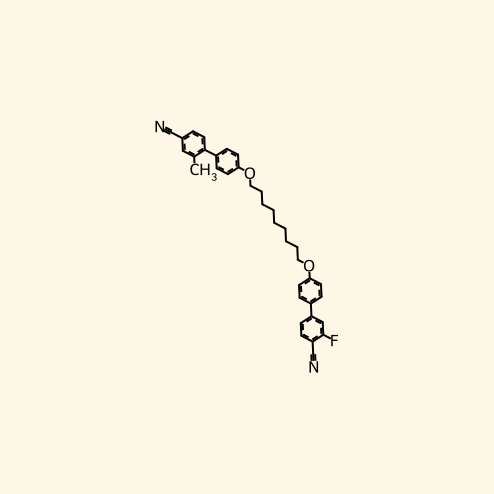 Cc1cc(C#N)ccc1-c1ccc(OCCCCCCCCCOc2ccc(-c3ccc(C#N)c(F)c3)cc2)cc1